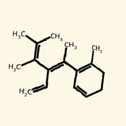 C=C/C(C(C)=C(C)C)=C(/C)C1=C(C)CCC=C1